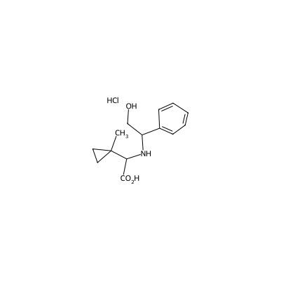 CC1(C(NC(CO)c2ccccc2)C(=O)O)CC1.Cl